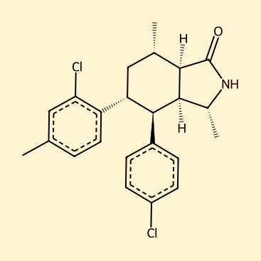 Cc1ccc([C@@H]2C[C@H](C)[C@H]3C(=O)N[C@H](C)[C@H]3[C@H]2c2ccc(Cl)cc2)c(Cl)c1